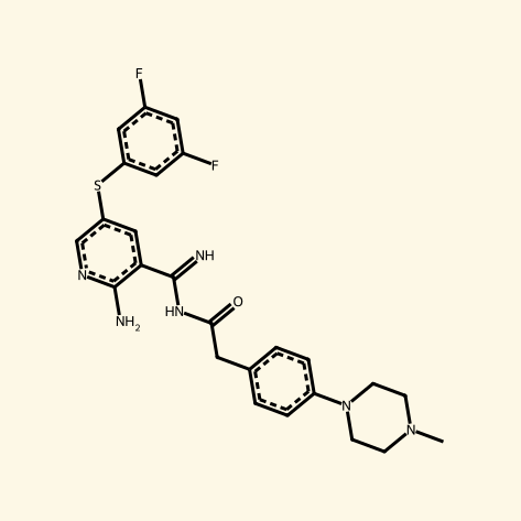 CN1CCN(c2ccc(CC(=O)NC(=N)c3cc(Sc4cc(F)cc(F)c4)cnc3N)cc2)CC1